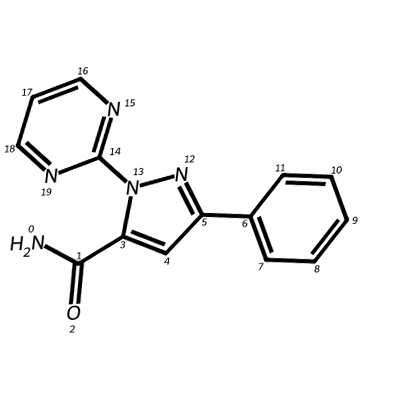 NC(=O)c1cc(-c2ccccc2)nn1-c1ncccn1